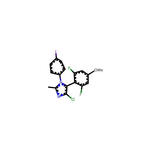 COc1cc(F)c(-c2c(Cl)nc(C)n2-c2ccc(I)cc2)c(F)c1